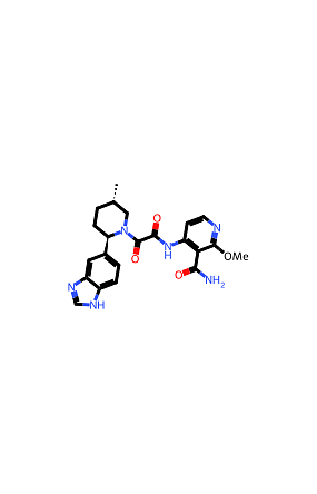 COc1nccc(NC(=O)C(=O)N2C[C@@H](C)CC[C@@H]2c2ccc3[nH]cnc3c2)c1C(N)=O